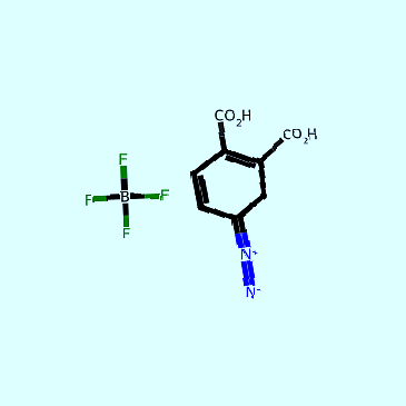 F[B-](F)(F)F.[N-]=[N+]=C1C=CC(C(=O)O)=C(C(=O)O)C1